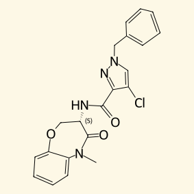 CN1C(=O)[C@@H](NC(=O)c2nn(Cc3ccccc3)cc2Cl)COc2ccccc21